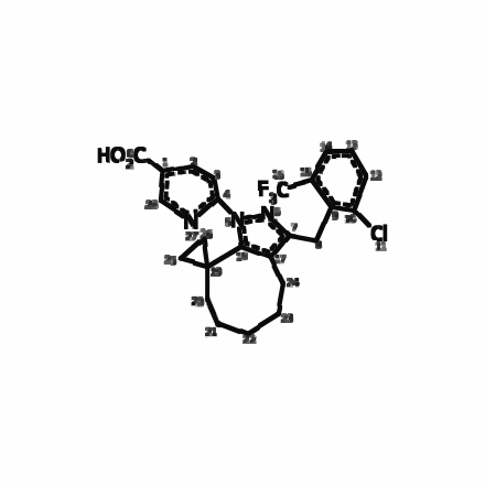 O=C(O)c1ccc(-n2nc(Cc3c(Cl)cccc3C(F)(F)F)c3c2C2(CCCCC3)CC2)nc1